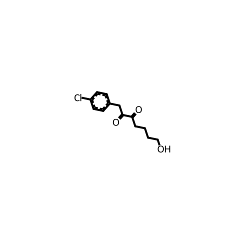 O=C(CCCCO)C(=O)Cc1ccc(Cl)cc1